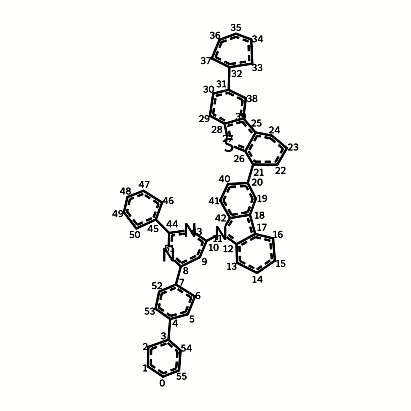 c1ccc(-c2ccc(-c3cc(-n4c5ccccc5c5cc(-c6cccc7c6sc6ccc(-c8ccccc8)cc67)ccc54)nc(-c4ccccc4)n3)cc2)cc1